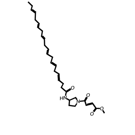 CCC=CCC=CCC=CCC=CCC=CCC=CCCC(=O)NC1CCN(C(=O)C=CC(=O)OC)C1